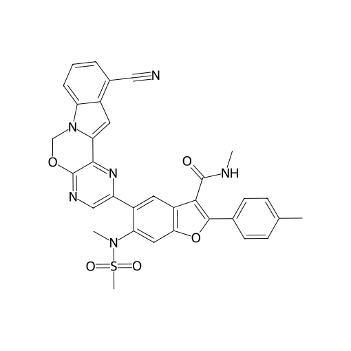 CNC(=O)c1c(-c2ccc(C)cc2)oc2cc(N(C)S(C)(=O)=O)c(-c3cnc4c(n3)-c3cc5c(C#N)cccc5n3CO4)cc12